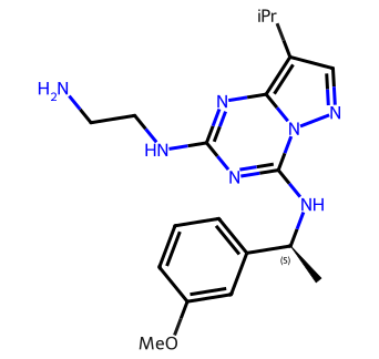 COc1cccc([C@H](C)Nc2nc(NCCN)nc3c(C(C)C)cnn23)c1